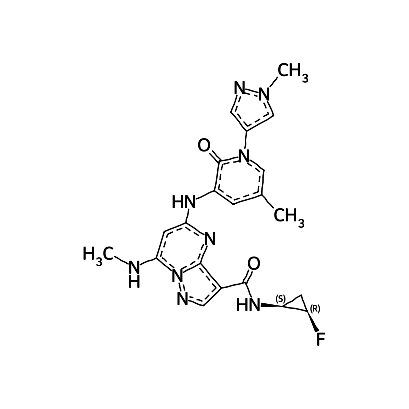 CNc1cc(Nc2cc(C)cn(-c3cnn(C)c3)c2=O)nc2c(C(=O)N[C@H]3C[C@H]3F)cnn12